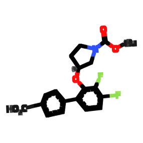 CC(C)(C)OC(=O)N1CC[C@H](Oc2c(-c3ccc(C(=O)O)cc3)ccc(F)c2F)C1